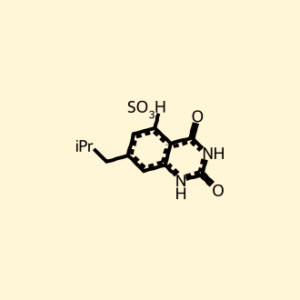 CC(C)Cc1cc(S(=O)(=O)O)c2c(=O)[nH]c(=O)[nH]c2c1